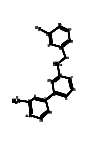 Nc1cc(-c2cccc(NCc3cccc(F)c3)n2)ccn1